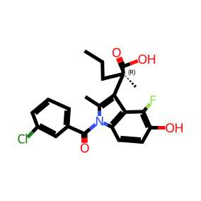 CCC[C@@](C)(C(=O)O)c1c(C)n(C(=O)c2cccc(Cl)c2)c2ccc(O)c(F)c12